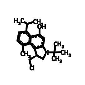 Cc1ccc(C(C)C)c2c(O)cc3c(c12)[C@H](CCl)CN3C(C)(C)C